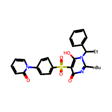 CCCCc1nc(=O)c(S(=O)(=O)c2ccc(-n3ccccc3=O)cc2)c(O)n1C(CC)c1ccccc1